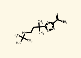 CC(C)(C)NCCC(C)(C)c1nnc(C(N)=O)s1